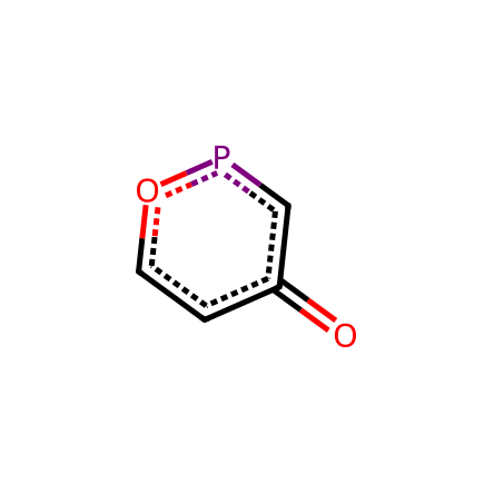 O=c1ccopc1